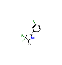 CC(C)C1N[C@H](c2cccc(F)c2)CC1(F)F